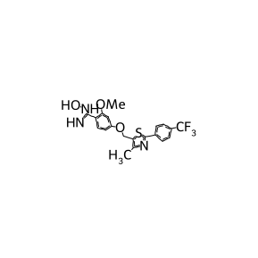 COc1cc(OCc2sc(-c3ccc(C(F)(F)F)cc3)nc2C)ccc1C(=N)NO